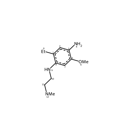 CCc1cc(N)c(OC)cc1NCCNC